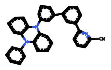 N#Cc1cccc(-c2cccc(-c3cccc(N4c5ccccc5N(c5ccccc5)c5ccccc54)c3)c2)n1